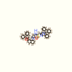 CC(C)(C)[Si](Oc1ccc2cccc(N3CCC(NC(=S)Cc4cn(C(c5ccccc5)(c5ccccc5)c5ccccc5)cn4)C3=O)c2c1)(c1ccccc1)c1ccccc1